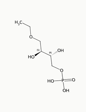 CCOC[C@H](O)[C@H](O)COP(=O)(O)O